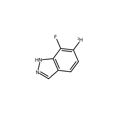 [2H]c1ccc2cn[nH]c2c1F